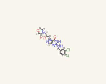 O=c1[nH]c(NCc2ccc(Cl)c(Cl)c2)nc2cnn(CC(O)CN3CCOCC3)c12